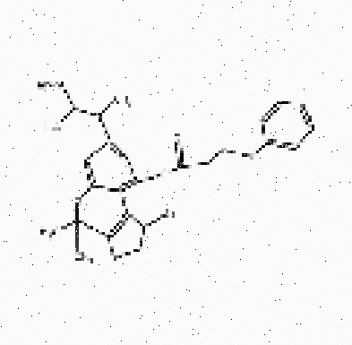 CCCCCC(C)C(C)c1cc(OC(=O)CCCc2ccccc2)c2c(c1)OC(C)(C)C1=C2C(CC)CC1